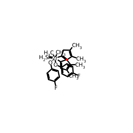 CC1=C(C)C[C]([Zr]([CH3])([CH3])(=[SiH2])([O]c2ccc(F)cc2)([O]c2ccc(F)cc2)[C]2=CC(C)=C(C)C2)=C1